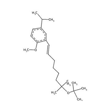 COc1ccc(C(C)C)cc1/C=C/CCCCC(C)(C)OC(C)(C)C